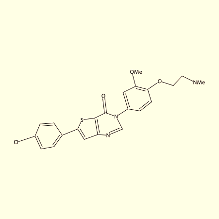 CNCCOc1ccc(-n2cnc3cc(-c4ccc(Cl)cc4)sc3c2=O)cc1OC